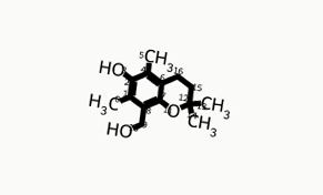 Cc1c(O)c(C)c2c(c1CO)OC(C)(C)CC2